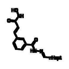 CCCCCCC/C=N/NC(=O)c1cccc(/C=C/C(=O)NO)c1